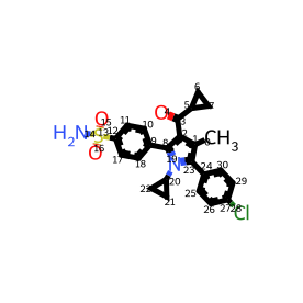 Cc1c(C(=O)C2CC2)c(-c2ccc(S(N)(=O)=O)cc2)n(C2CC2)c1-c1ccc(Cl)cc1